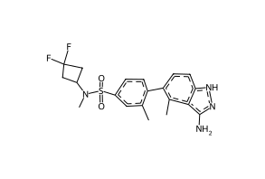 Cc1cc(S(=O)(=O)N(C)C2CC(F)(F)C2)ccc1-c1ccc2[nH]nc(N)c2c1C